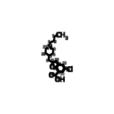 CCCCN1CCC(Cc2cc3cc(Cl)cc(C(=O)O)c3o2)CC1